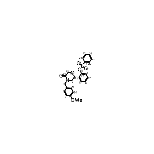 COc1ccc(CN2C[C@@H](c3ccccc3OS(=O)(=O)c3ccccc3)OCC2=O)cc1